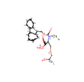 CC(O)COCC(C(=O)O)N(C)C(=O)OCC1c2ccccc2-c2ccccc21